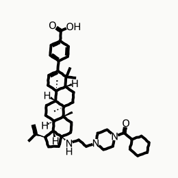 C=C(C)[C@@H]1CC[C@]2(NCCN3CCN(C(=O)C4CCCCC4)CC3)CC[C@]3(C)[C@H](CC[C@@H]4[C@@]5(C)CC=C(c6ccc(C(=O)O)cc6)C(C)(C)[C@@H]5CC[C@]43C)[C@@H]12